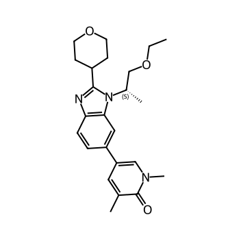 CCOC[C@H](C)n1c(C2CCOCC2)nc2ccc(-c3cc(C)c(=O)n(C)c3)cc21